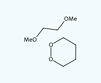 C1CCOOC1.COCCOC